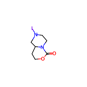 O=C1OCCC2CN(I)CCN12